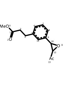 COC(=O)CCc1cccc(C2OC2C(C)=O)c1